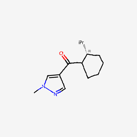 CC(C)[C@@H]1CCCCC1C(=O)c1cnn(C)c1